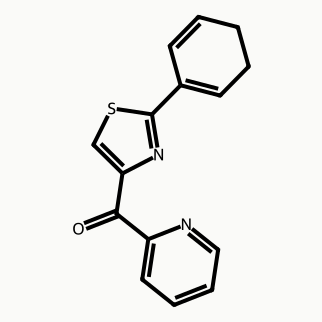 O=C(c1ccccn1)c1csc(C2=CCCC=C2)n1